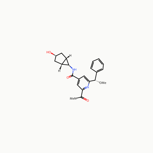 CNC(=O)c1cc(C(=O)N[C@H]2[C@@H]3C[C@@H](O)C[C@@H]32)cc([C@@H](OC)c2ccccc2)n1